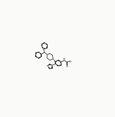 CCC(=O)Nc1ccc(-n2ccnc2)c(N2CCN(C(c3ccccc3)c3ccccc3)CC2)c1